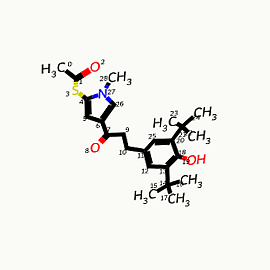 CC(=O)Sc1cc(C(=O)CCc2cc(C(C)(C)C)c(O)c(C(C)(C)C)c2)cn1C